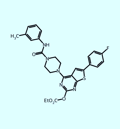 CCOC(=O)Oc1nc(N2CCN(C(=O)Nc3cccc(C)c3)CC2)c2cc(-c3ccc(F)cc3)sc2n1